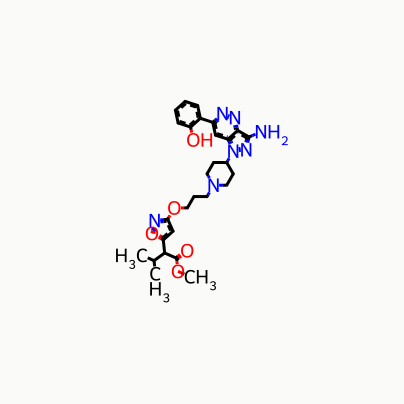 COC(=O)C(c1cc(OCCCN2CCC(n3nc(N)c4nnc(-c5ccccc5O)cc43)CC2)no1)C(C)C